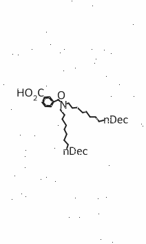 CCCCCCCCCCCCCCCCCCN(CCCCCCCCCCCCCCCCCC)C(=O)c1cccc(C(=O)O)c1